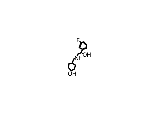 OC1CCC(CNC[C@H](O)c2cccc(F)c2)CC1